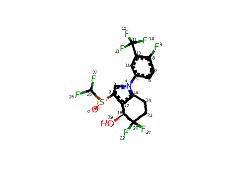 [O-][S@+](c1cn(-c2ccc(F)c(C(F)(F)F)c2)c2c1[C@H](O)C(F)(F)CC2)C(F)F